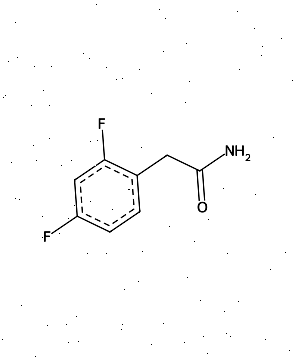 NC(=O)Cc1ccc(F)cc1F